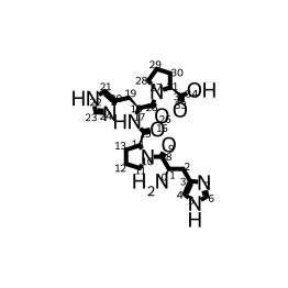 N[C@@H](Cc1c[nH]cn1)C(=O)N1CCC[C@H]1C(=O)N[C@@H](Cc1c[nH]cn1)C(=O)N1CCC[C@H]1C(=O)O